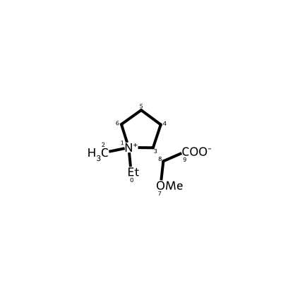 CC[N+]1(C)CCCC1.COCC(=O)[O-]